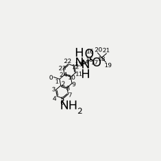 CC1c2ccc(N)cc2Cc2cc(NNC(=O)OC(C)(C)C)ccc21